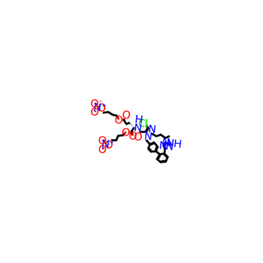 CCCCc1nc(Cl)c(C(=O)N[C@@H](CCC(=O)OCCCCO[N+](=O)[O-])C(=O)OCCCCO[N+](=O)[O-])n1Cc1ccc(-c2ccccc2-c2nn[nH]n2)cc1